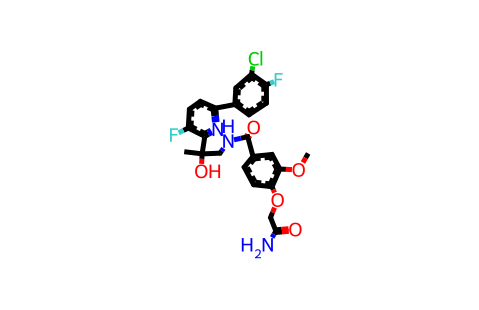 COc1cc(C(=O)NCC(C)(O)c2nc(-c3ccc(F)c(Cl)c3)ccc2F)ccc1OCC(N)=O